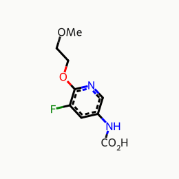 COCCOc1ncc(NC(=O)O)cc1F